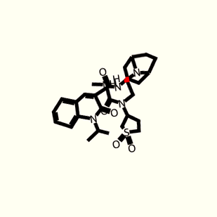 CNC(=O)N(CCN1C2CCC1CC(NC(=O)c1cc3ccccc3n(C(C)C)c1=O)C2)C1CCS(=O)(=O)C1